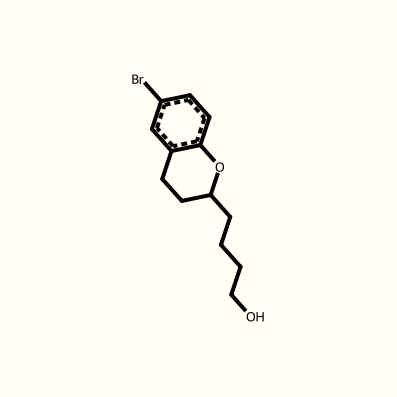 OCCCCC1CCc2cc(Br)ccc2O1